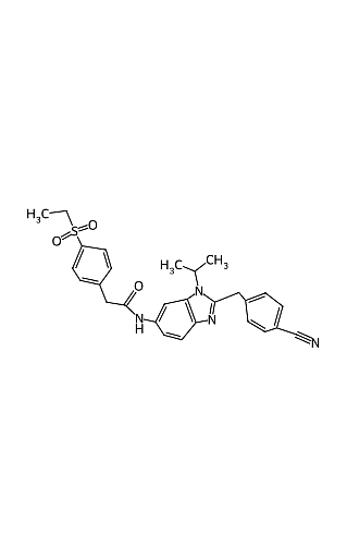 CCS(=O)(=O)c1ccc(CC(=O)Nc2ccc3nc(Cc4ccc(C#N)cc4)n(C(C)C)c3c2)cc1